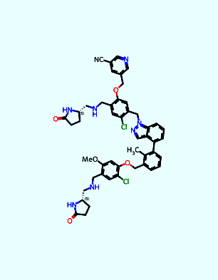 COc1cc(OCc2cccc(-c3cccc4c3cnn4Cc3cc(OCc4cncc(C#N)c4)c(CNC[C@@H]4CCC(=O)N4)cc3Cl)c2C)c(Cl)cc1CNC[C@@H]1CCC(=O)N1